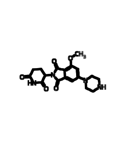 COc1cc(N2CCNCC2)cc2c1C(=O)N(C1CCC(=O)NC1=O)C2=O